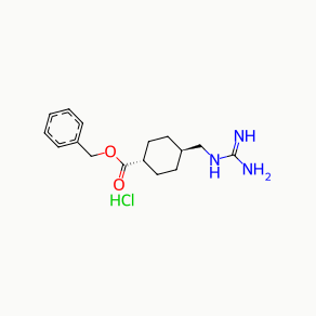 Cl.N=C(N)NC[C@H]1CC[C@H](C(=O)OCc2ccccc2)CC1